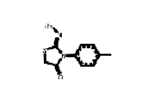 Cc1ccc(N2C(=O)CS/C2=N\C(C)C)cc1